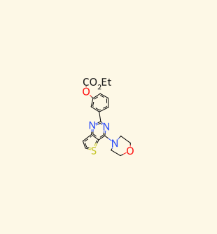 CCOC(=O)Oc1cccc(-c2nc(N3CCOCC3)c3sccc3n2)c1